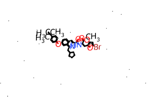 COC(=O)C(Cc1ccc(Br)o1)NC(=O)c1cc2ccc(Oc3ccc(C(C)(C)C)cc3)cc2c(CC2CCCC2)n1